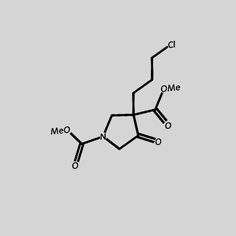 COC(=O)N1CC(=O)C(CCCCl)(C(=O)OC)C1